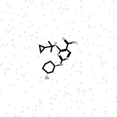 CC(C)(Nc1nc(N[C@@H]2CCC[C@@H](O)C2)ncc1C(N)=O)C1CC1